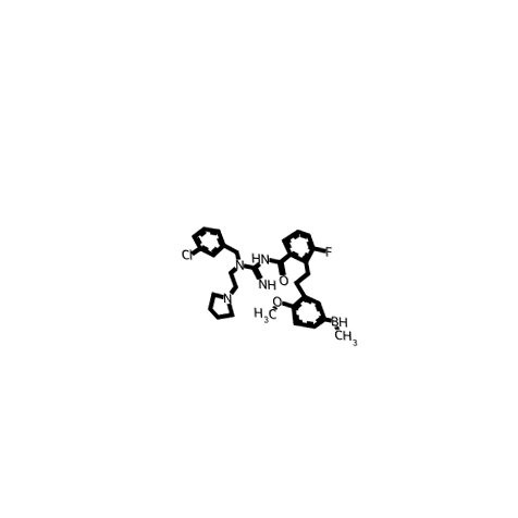 CBc1ccc(OC)c(CCc2c(F)cccc2C(=O)NC(=N)N(CCN2CCCC2)Cc2cccc(Cl)c2)c1